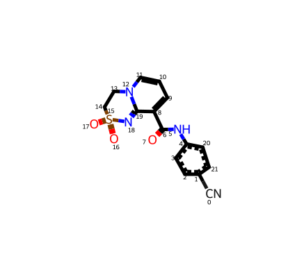 N#Cc1ccc(NC(=O)C2=CC=CN3CCS(=O)(=O)N=C23)cc1